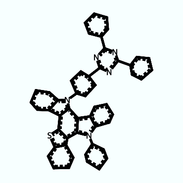 c1ccc(-c2nc(-c3ccccc3)nc(-c3ccc(-n4c5ccccc5c5c6sc7ccccc7c6c6c(c7ccccc7n6-c6ccccc6)c54)cc3)n2)cc1